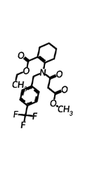 CCOC(=O)C1=C(N(Cc2ccc(C(F)(F)F)cc2)C(=O)CC(=O)OC)CCCC1